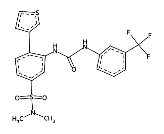 CN(C)S(=O)(=O)c1ccc(-c2ccsc2)c(NC(=O)Nc2cccc(C(F)(F)F)c2)c1